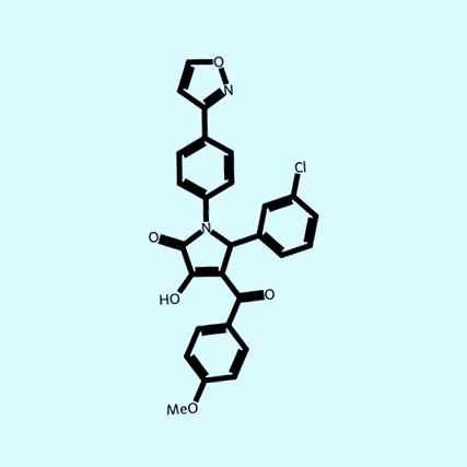 COc1ccc(C(=O)C2=C(O)C(=O)N(c3ccc(-c4ccon4)cc3)C2c2cccc(Cl)c2)cc1